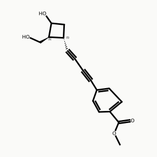 COC(=O)c1ccc(C#CC#C[C@H]2CC(O)[C@@H]2CO)cc1